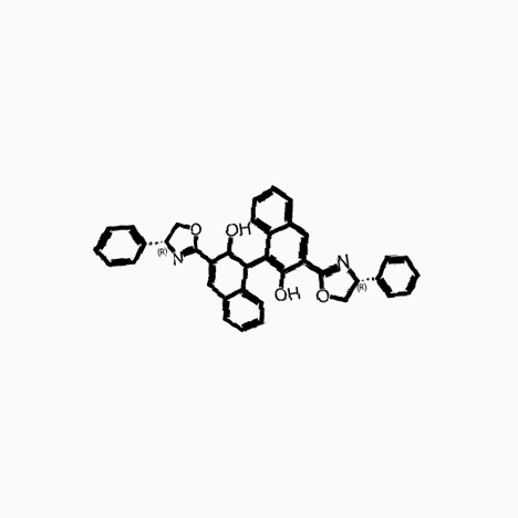 Oc1c(C2=N[C@H](c3ccccc3)CO2)cc2ccccc2c1C1c2ccccc2C=C(C2=N[C@H](c3ccccc3)CO2)C1O